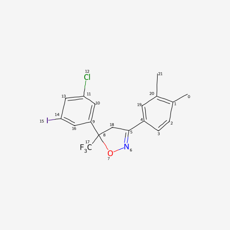 Cc1ccc(C2=NOC(c3cc(Cl)cc(I)c3)(C(F)(F)F)C2)cc1C